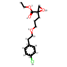 CCOC(=O)C1(CCCOCCc2ccc(Cl)cc2)CO1